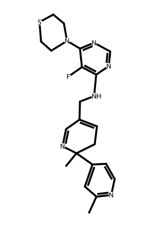 Cc1cc(C2(C)CC=C(CNc3ncnc(N4CCSCC4)c3F)C=N2)ccn1